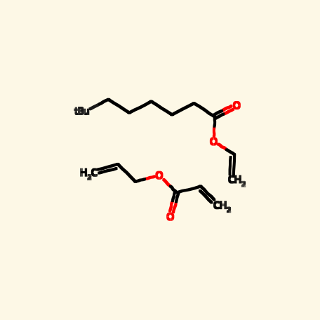 C=CCOC(=O)C=C.C=COC(=O)CCCCCC(C)(C)C